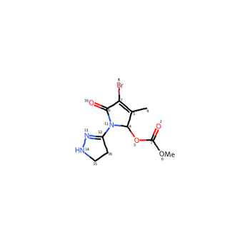 COC(=O)OC1C(C)=C(Br)C(=O)N1C1=NNCC1